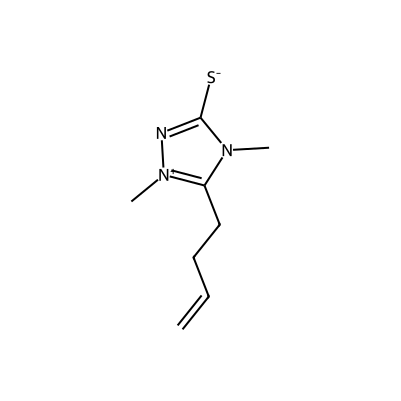 C=CCCc1n(C)c([S-])n[n+]1C